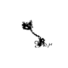 O=S(=O)(O)c1cc2c(s1)-c1c(c(COCCCCCCOCc3nn(-c4ccc(Cl)cc4Cl)c4c3CCCc3cc(S(=O)(=O)O)sc3-4)nn1-c1ccc(Cl)cc1Cl)CCC2